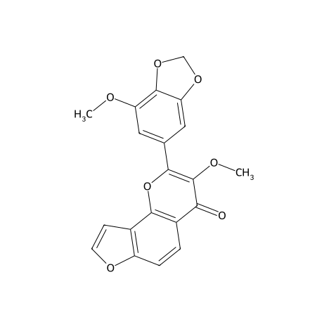 COc1cc(-c2oc3c(ccc4occc43)c(=O)c2OC)cc2c1OCO2